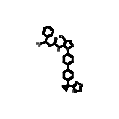 CC(OC(=O)Nc1c(Cl)cnn1-c1ccc(-c2ccc(C3(c4nnn[nH]4)CC3)cc2)cc1)c1ccccc1